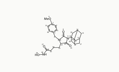 COc1ccc(CN2C(=O)N(C34CC5CC(CC(C5)C3)C4)C(=O)C2CCCC(=O)NO)cc1